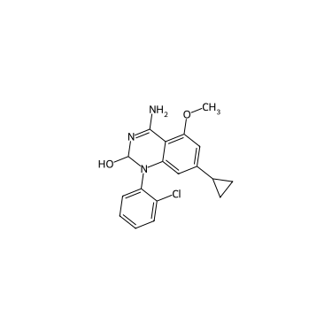 COc1cc(C2CC2)cc2c1C(N)=NC(O)N2c1ccccc1Cl